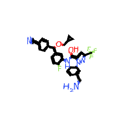 N#Cc1ccc(C(OCC2CC2)c2ccc(F)c(NC(O)c3cc(C(F)(F)F)nn3-c3cccc(CN)c3)c2)cc1